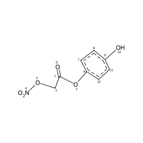 O=C(CO[N+](=O)[O-])Oc1ccc(O)cc1